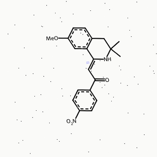 COc1ccc2c(c1)/C(=C/C(=O)c1ccc([N+](=O)[O-])cc1)NC(C)(C)C2